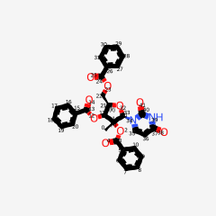 C[C@@]1(OC(=O)c2ccccc2)C(OC(=O)c2ccccc2)[C@@H](COC(=O)c2ccccc2)O[C@H]1n1ccc(=O)[nH]c1=O